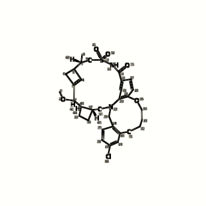 CO[C@H]1C2=CC(C2)[C@H](C)CS(=O)(=O)NC(=O)c2ccc3c(c2)N(Cc2ccc(Cl)cc2CCCCO3)C[C@@H]2CC[C@H]21